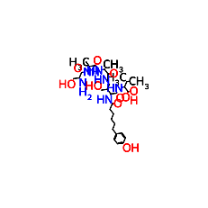 CC(C)[C@H](NC(=O)[C@@H](NC(=O)CCCCCc1ccc(O)cc1)C(CO)CNC(=O)[C@H](C)NC(=O)[C@H](C)NC(=O)[C@@H](N)CO)C(=O)O